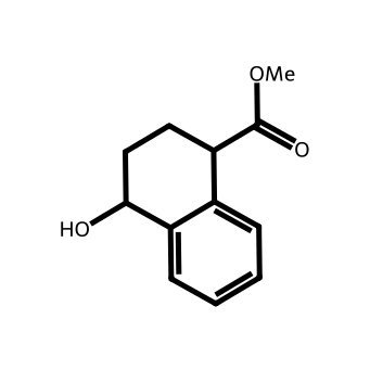 COC(=O)C1CCC(O)c2ccccc21